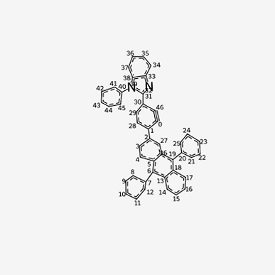 c1c(-c2ccc3c(-c4ccccc4)c4ccccc4c(-c4ccccc4)c3c2)ccc(-c2nc3ccccc3n2-c2ccccc2)c#1